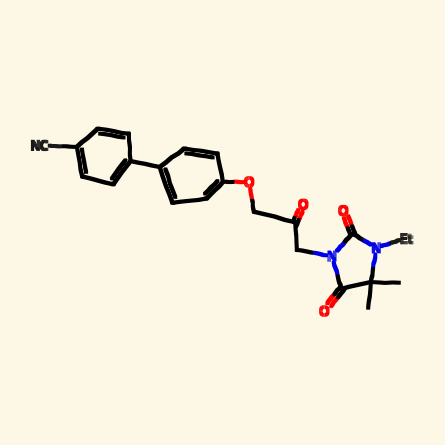 CCN1C(=O)N(CC(=O)COc2ccc(-c3ccc(C#N)cc3)cc2)C(=O)C1(C)C